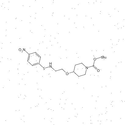 CC(C)(C)OC(=O)N1CCC(OCCNSc2ccc([N+](=O)[O-])cc2)CC1